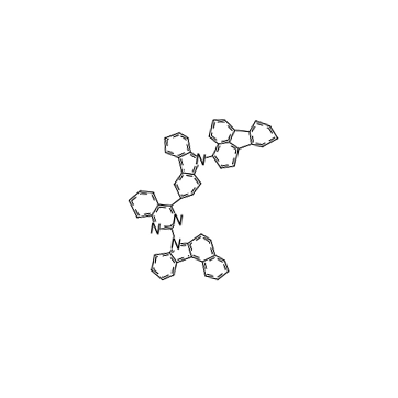 c1ccc2c(c1)-c1cccc3c(-n4c5ccccc5c5cc(-c6nc(-n7c8ccccc8c8c9ccccc9ccc87)nc7ccccc67)ccc54)ccc-2c13